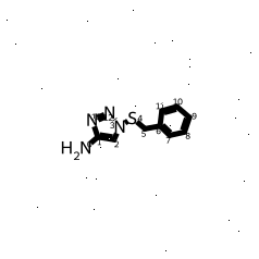 Nc1cn(SCc2ccccc2)nn1